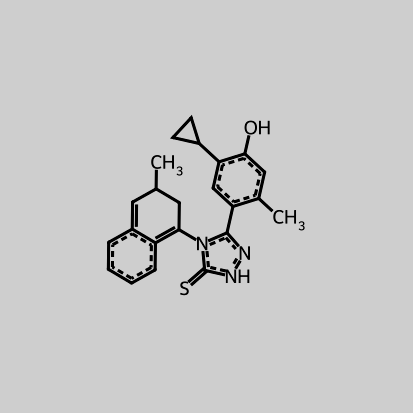 Cc1cc(O)c(C2CC2)cc1-c1n[nH]c(=S)n1C1=c2ccccc2=CC(C)C1